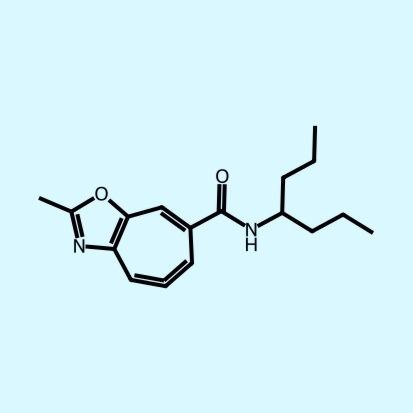 CCCC(CCC)NC(=O)C1=Cc2oc(C)nc2C=C=C1